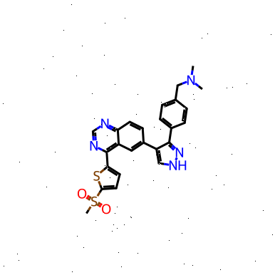 CN(C)Cc1ccc(-c2n[nH]cc2-c2ccc3ncnc(-c4ccc(S(C)(=O)=O)s4)c3c2)cc1